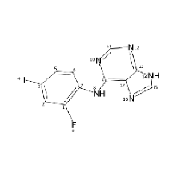 Fc1cc(I)ccc1Nc1ncnc2[nH]cnc12